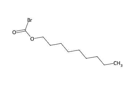 CCCCCCCCCOC(=O)Br